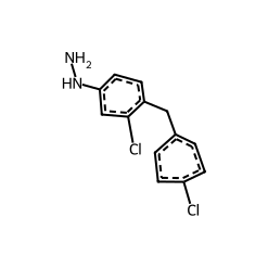 NNc1ccc(Cc2ccc(Cl)cc2)c(Cl)c1